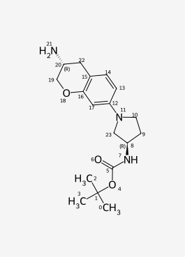 CC(C)(C)OC(=O)N[C@@H]1CCN(c2ccc3c(c2)OC[C@H](N)C3)C1